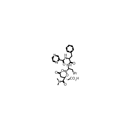 CC(C)CC(NC(=O)C(Cc1ccccc1)NC(=O)c1cnccn1)B1OC(=O)C[C@](CC(=O)O)(C(=O)N(C)C)O1